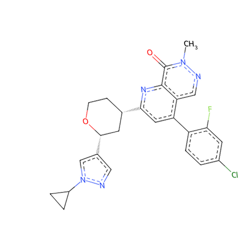 Cn1ncc2c(-c3ccc(Cl)cc3F)cc([C@H]3CCO[C@@H](c4cnn(C5CC5)c4)C3)nc2c1=O